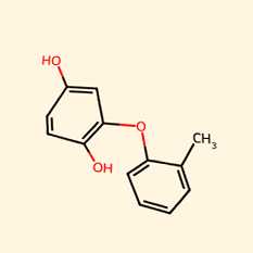 Cc1ccccc1Oc1cc(O)ccc1O